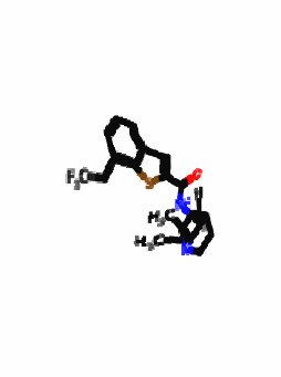 CC1(C)[C@H](NC(=O)c2cc3cccc(CC(F)(F)F)c3s2)C2CCN1CC2